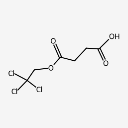 O=C(O)CCC(=O)OCC(Cl)(Cl)Cl